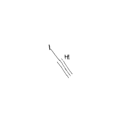 C#CI.I